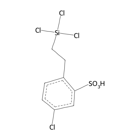 O=S(=O)(O)c1cc(Cl)ccc1CC[Si](Cl)(Cl)Cl